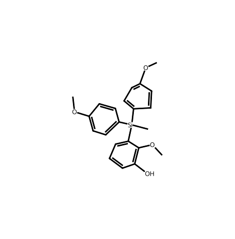 COc1ccc([Si](C)(c2ccc(OC)cc2)c2cccc(O)c2OC)cc1